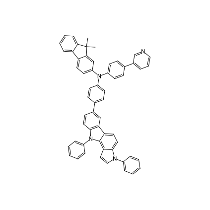 CC1(C)c2ccccc2-c2ccc(N(c3ccc(-c4cccnc4)cc3)c3ccc(-c4ccc5c(c4)c4ccc6c(ccn6-c6ccccc6)c4n5-c4ccccc4)cc3)cc21